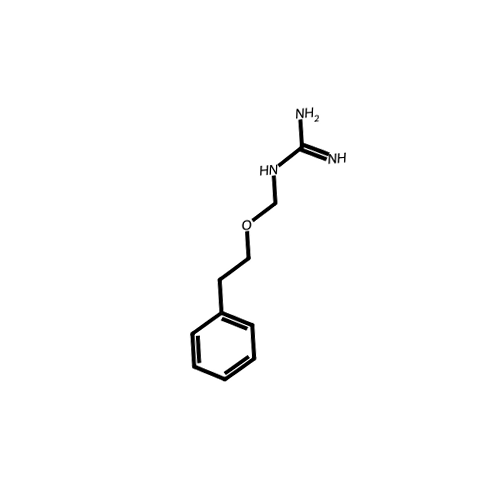 N=C(N)NCOCCc1ccccc1